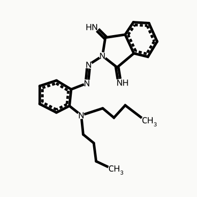 CCCCN(CCCC)c1ccccc1N=NN1C(=N)c2ccccc2C1=N